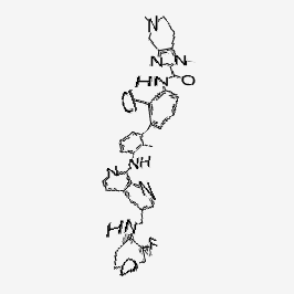 Cc1c(Nc2nccc3cc(CN[C@@H]4CCOC[C@@H]4F)cnc23)cccc1-c1cccc(NC(=O)c2nc3c(n2C)CCN(C)C3)c1Cl